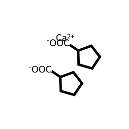 O=C([O-])C1CCCC1.O=C([O-])C1CCCC1.[Ca+2]